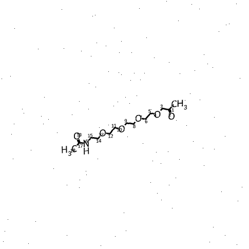 CC(=O)COCCOCCOCCOCCNC(C)=O